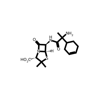 CC(N)(C(=O)N[C@@H]1C(=O)N2[C@@H]1SC(C)(C)[C@@H]2C(=O)O)C1CC=CCC1